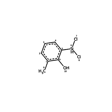 Cc1cccc([SiH](Cl)Cl)c1O